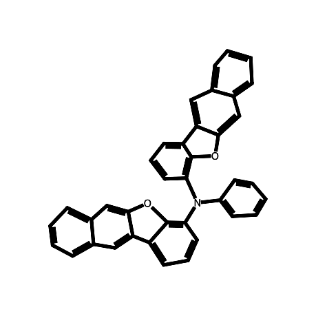 c1ccc(N(c2cccc3c2oc2cc4ccccc4cc23)c2cccc3c2oc2cc4ccccc4cc23)cc1